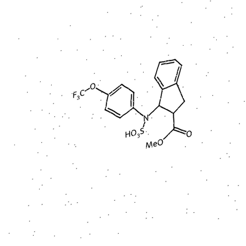 COC(=O)C1Cc2ccccc2C1N(c1ccc(OC(F)(F)F)cc1)S(=O)(=O)O